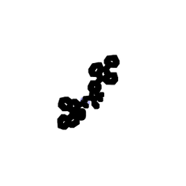 C=CC1=C(/C=C(\C)c2cc3ccccc3c3c2oc2ccc4ccccc4c23)c2ccc(-c3c4ccccc4c(-c4ccccc4)c4ccccc34)cc2C1(C)C